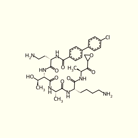 C[C@H](NC(=O)[C@@H](NC(=O)[C@H](CCN)NC(=O)c1ccc(-c2ccc(Cl)cc2)cc1)[C@@H](C)O)C(=O)N[C@@H](CCCCN)C(=O)N[C@@H](C)C(=O)C1CO1